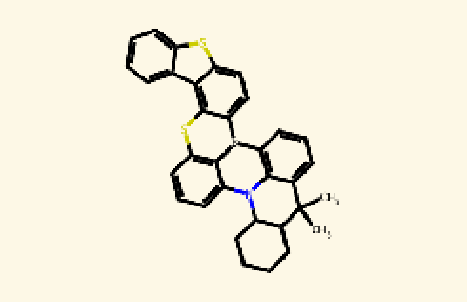 CC1(C)c2cccc3c2N(c2cccc4c2B3c2ccc3sc5ccccc5c3c2S4)C2CCCCC21